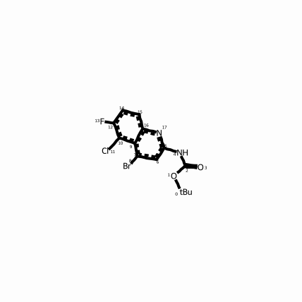 CC(C)(C)OC(=O)Nc1cc(Br)c2c(Cl)c(F)ccc2n1